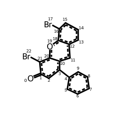 O=c1cc(-c2ccccc2)c2cc3cccc(Br)c3oc-2c1Br